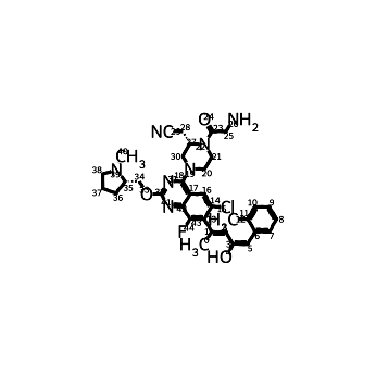 C/C(=C\C(O)=C/c1ccccc1C)c1c(Cl)cc2c(N3CCN(C(=O)CN)[C@@H](CC#N)C3)nc(OC[C@@H]3CCCN3C)nc2c1F